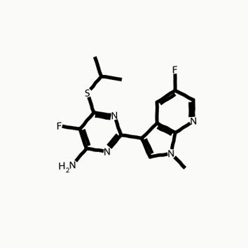 CC(C)Sc1nc(-c2cn(C)c3ncc(F)cc23)nc(N)c1F